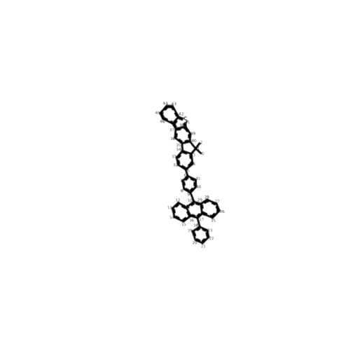 CC1(C)c2cc(-c3ccc(-c4c5ccccc5c(-c5ccccc5)c5ccccc45)cc3)ccc2-c2cc3c(cc21)sc1ccccc13